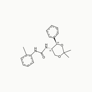 Cc1ccccc1NC(=O)N[C@H]1COC(C)(C)O[C@@H]1c1ccccc1